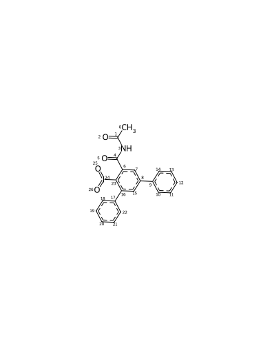 CC(=O)NC(=O)c1cc(-c2ccccc2)cc(-c2ccccc2)c1I(=O)=O